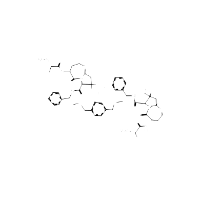 CN[C@@H](C)C(=O)N[C@H]1CCS[C@H]2CC(C)(C)C(C(=O)N[C@H](COCc3ccc(COC[C@@H](NC(=O)C4N5C(=O)[C@@H](NC(=O)[C@H](C)NC)CCS[C@H]5CC4(C)C)c4ccccc4)cc3)c3ccccc3)N2C1=O